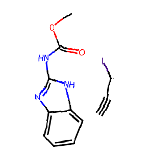 C#C[CH]I.COC(=O)Nc1nc2ccccc2[nH]1